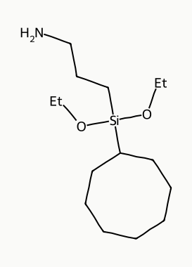 CCO[Si](CCCN)(OCC)C1CCCCCCC1